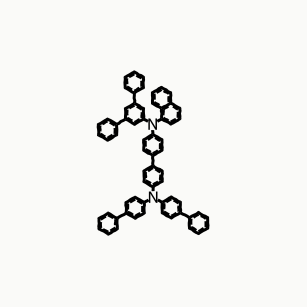 c1ccc(-c2ccc(N(c3ccc(-c4ccccc4)cc3)c3ccc(-c4ccc(N(c5cc(-c6ccccc6)cc(-c6ccccc6)c5)c5cccc6ccccc56)cc4)cc3)cc2)cc1